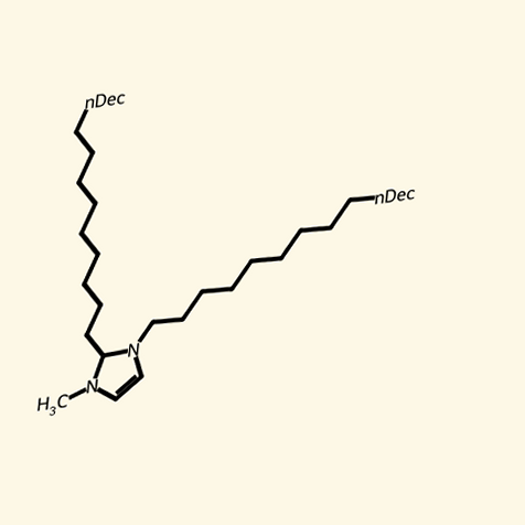 CCCCCCCCCCCCCCCCCCCC1N(C)C=CN1CCCCCCCCCCCCCCCCCCC